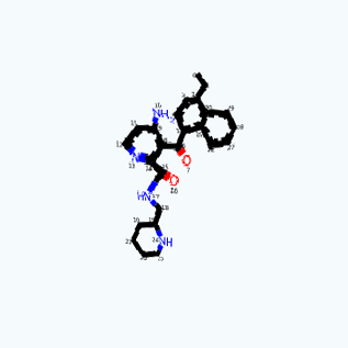 CCc1ccc(C(=O)c2c(N)ccnc2C(=O)NCC2CCCCN2)c2ccccc12